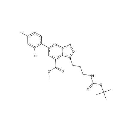 COC(=O)c1cc(-c2ccc(C)cc2Cl)cc2ncn(CCCNC(=O)OC(C)(C)C)c12